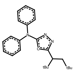 CC(C)(C)CC(c1nnc(N(c2ccccc2)c2ccccc2)o1)C(C)(C)C